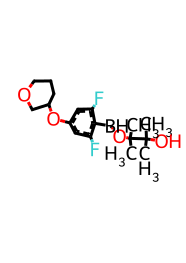 CC(C)(O)C(C)(C)OBc1c(F)cc(OC2CCCOC2)cc1F